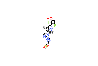 CC[C@H](C)c1cc(-c2c(F)ccc(O)c2F)nnc1[C@](C)(c1ccnc(-n2cnc(CCS(C)(=O)=O)n2)n1)C(C)C